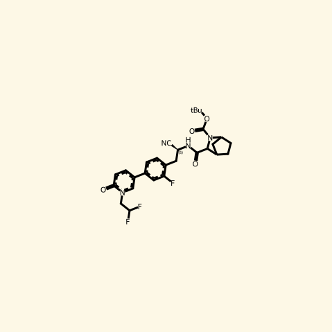 CC(C)(C)OC(=O)N1C2CCC(C2)C1C(=O)N[C@H](C#N)Cc1ccc(-c2ccc(=O)n(CC(F)F)c2)cc1F